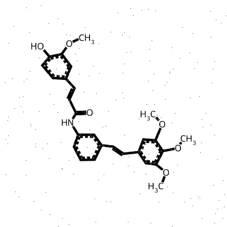 COc1cc(/C=C/C(=O)Nc2cccc(/C=C/c3cc(OC)c(OC)c(OC)c3)c2)ccc1O